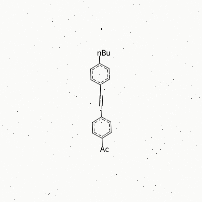 CCCCc1ccc(C#Cc2ccc(C(C)=O)cc2)cc1